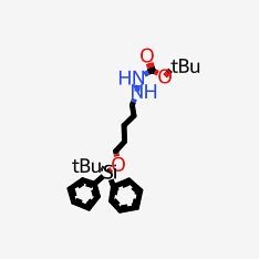 CC(C)(C)OC(=O)NNCCCCCO[Si](c1ccccc1)(c1ccccc1)C(C)(C)C